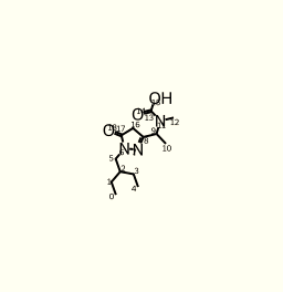 CCC(CC)CN1N=C(C(C)N(C)C(=O)O)CC1=O